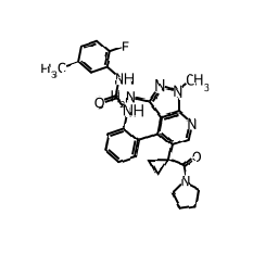 Cc1ccc(F)c(NC(=O)Nc2ccccc2-c2c(C3(C(=O)N4CCCC4)CC3)cnc3c2c(N)nn3C)c1